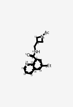 CCc1cc(C(=O)NCC2CN(C(C)=O)C2)c2ncccc2c1